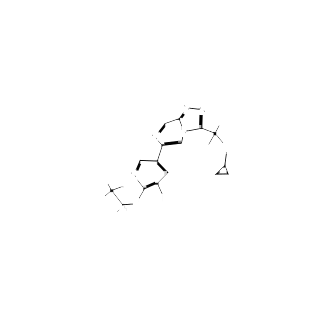 C[C@H](Oc1ncc(-c2cn3c(C(F)(F)OC4CC4)nnc3cn2)cc1F)C(F)(F)F